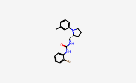 Cc1cccc(N2CCC[C@@H]2CNC(=O)Nc2ccccc2Br)c1